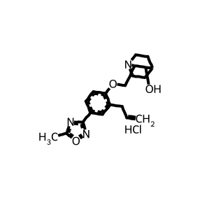 C=CCc1cc(-c2noc(C)n2)ccc1OCC1C(O)C2CCN1CC2.Cl